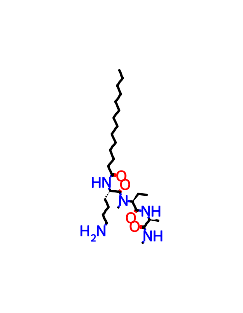 CCCCCCCCCCCCCC(=O)N[C@@H](CCCCN)C(=O)N(C)[C@@H](CC)C(=O)N[C@@H](C)C(=O)NC